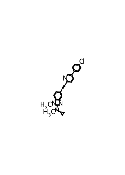 CN(c1nc2cc(C#Cc3ccc(-c4ccc(Cl)cc4)cn3)ccc2n1C)C1CC1